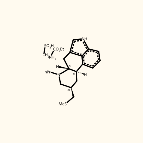 CCCN1C[C@H](CSC)C[C@@H]2c3cccc4[nH]cc(c34)C[C@H]21.CCOC(N)=O.CS(=O)(=O)O